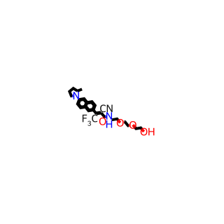 CC1CCCN1c1ccc2cc(/C(=C(\C#N)C(=O)NCCOCCOCCO)C(F)(F)F)ccc2c1